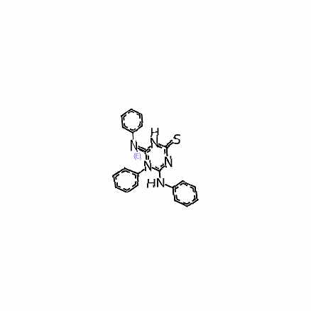 S=c1nc(Nc2ccccc2)n(-c2ccccc2)/c(=N/c2ccccc2)[nH]1